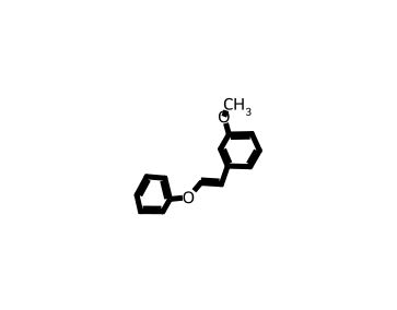 COc1cccc(C=COc2ccccc2)c1